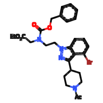 CCOC(=O)CN(CCn1nc(C2CCN(C(C)=O)CC2)c2c(Br)cccc21)C(=O)OCc1ccccc1